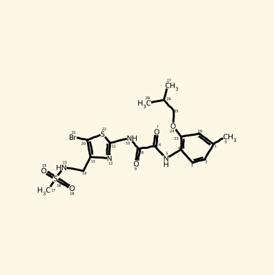 Cc1ccc(NC(=O)C(=O)Nc2nc(CNS(C)(=O)=O)c(Br)s2)c(OCC(C)C)c1